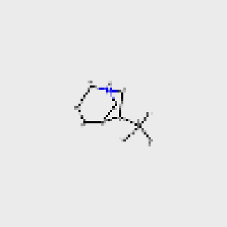 CC(C)(C)C1CN2CCCC1C2